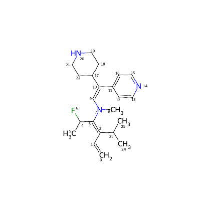 C=C/C(=C(\C(C)F)N(C)/C=C(\c1ccncc1)C1CCNCC1)C(C)C